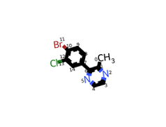 Cc1nccnc1-c1ccc(Br)c(Cl)c1